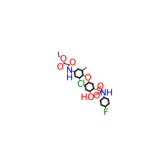 CCOC(=O)C(=O)Nc1cc(C)c(Oc2ccc(O)c(S(=O)(=O)Nc3ccc(F)cc3)c2)c(Cl)c1